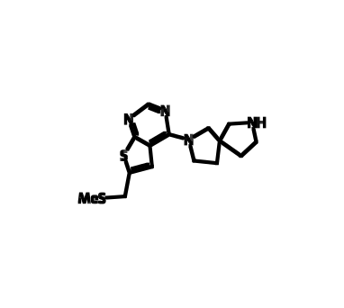 CSCc1cc2c(N3CCC4(CCNC4)C3)ncnc2s1